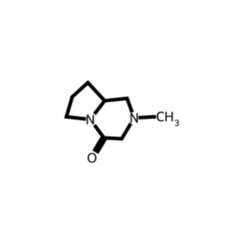 CN1CC(=O)N2CCCC2C1